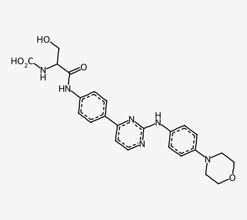 O=C(O)NC(CO)C(=O)Nc1ccc(-c2ccnc(Nc3ccc(N4CCOCC4)cc3)n2)cc1